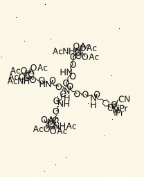 CC(=O)N[C@H]1[C@H](OCCOCCNC(=O)CCOCC(COCCC(=O)NCCOCCO[C@@H]2O[C@H](COC(C)=O)[C@H](OC(C)=O)[C@H](OC(C)=O)[C@H]2NC(C)=O)(COCCC(=O)NCCOCCO[C@@H]2O[C@H](COC(C)=O)[C@H](OC(C)=O)[C@H](OC(C)=O)[C@H]2NC(C)=O)NC(=O)CCOCCOCCNC(=O)CCC2CCC(OP(OCCC#N)N(C(C)C)C(C)C)CC2)O[C@H](COC(C)=O)[C@H](OC(C)=O)[C@@H]1OC(C)=O